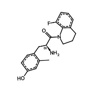 Cc1cc(O)ccc1C[C@H](N)C(=O)N1CCCc2cccc(F)c21